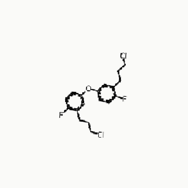 Fc1ccc(Oc2ccc(F)c(CCCCl)c2)cc1CCCCl